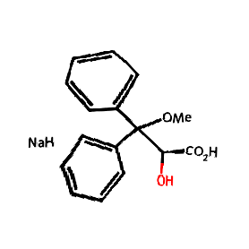 COC(c1ccccc1)(c1ccccc1)[C@H](O)C(=O)O.[NaH]